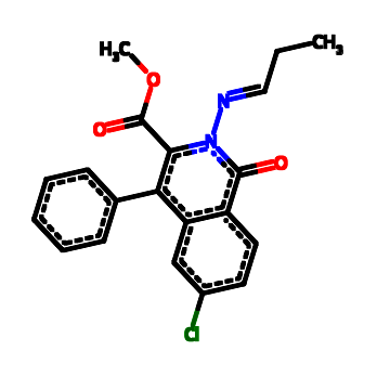 CCC=Nn1c(C(=O)OC)c(-c2ccccc2)c2cc(Cl)ccc2c1=O